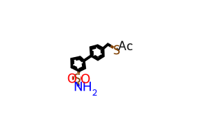 CC(=O)SCc1ccc(-c2cccc(S(N)(=O)=O)c2)cc1